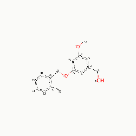 COc1cc(CO)cc(OCc2ccccc2C)c1